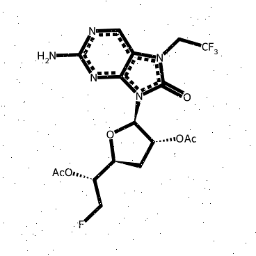 CC(=O)O[C@@H](CF)[C@@H]1C[C@@H](OC(C)=O)[C@H](n2c(=O)n(CC(F)(F)F)c3cnc(N)nc32)O1